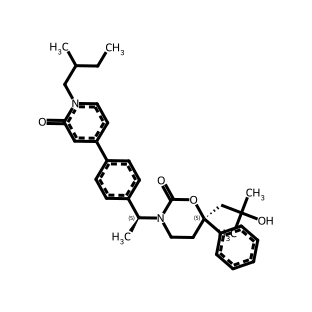 CCC(C)Cn1ccc(-c2ccc([C@H](C)N3CC[C@](CC(C)(C)O)(c4ccccc4)OC3=O)cc2)cc1=O